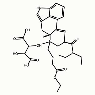 CCOC(=O)CCC[N+]1(C)C[C@H](C(=O)N(CC)CC)C=C2c3cccc4[nH]cc(c34)C[C@H]21.O=C(O)C(O)C(O)C(=O)O